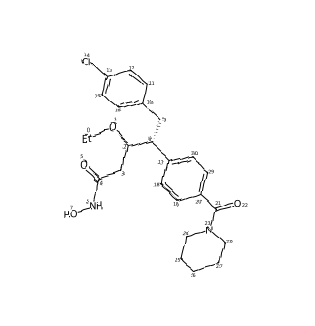 CCOC(CC(=O)NO)[C@H](Cc1ccc(Cl)cc1)c1ccc(C(=O)N2CCCCC2)cc1